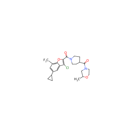 CC1CN(C(=O)C2CCN(C(=O)c3oc4c(C(F)(F)F)cc(C5CC5)cc4c3Cl)CC2)CCO1